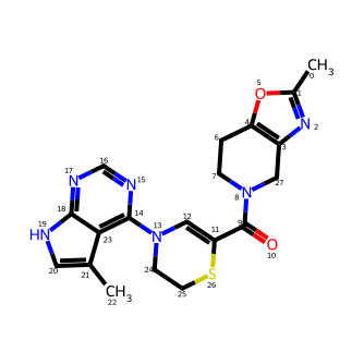 Cc1nc2c(o1)CCN(C(=O)C1=CN(c3ncnc4[nH]cc(C)c34)CCS1)C2